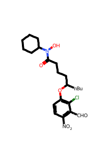 CCCCC(CCCC(=O)N(O)C1CCCCC1)Oc1ccc([N+](=O)[O-])c(C=O)c1Cl